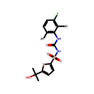 CC(C)c1ccc(F)c(C(C)C)c1NC(=O)NS(=O)(=O)c1ccc(C(C)(C)O)s1